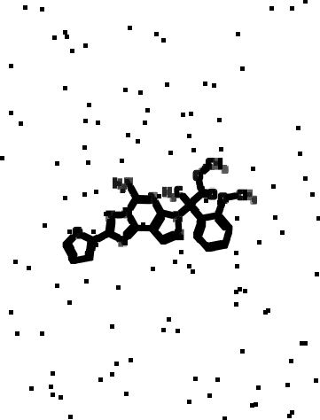 COC(=O)C(C)(c1ccccc1OC)n1ncc2c1nc(N)n1nc(-c3ccco3)nc21